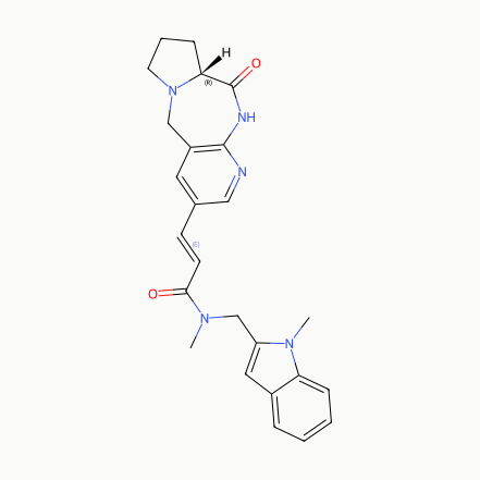 CN(Cc1cc2ccccc2n1C)C(=O)/C=C/c1cnc2c(c1)CN1CCC[C@@H]1C(=O)N2